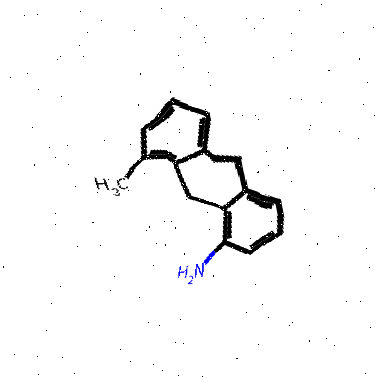 Cc1cccc2c1Cc1c(N)cccc1C2